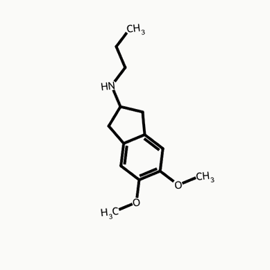 CCCNC1Cc2cc(OC)c(OC)cc2C1